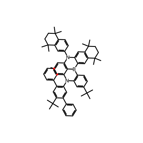 Cc1cc2c3c(c1)N(c1cc(-c4ccccc4)c(C(C)(C)C)cc1-c1ccccc1)c1cc(C(C)(C)C)ccc1B3c1cc3c(cc1N2c1ccc2c(c1)C(C)(C)CCC2(C)C)C(C)(C)CCC3(C)C